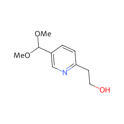 COC(OC)c1ccc(CCO)nc1